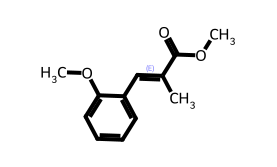 COC(=O)/C(C)=C/c1ccccc1OC